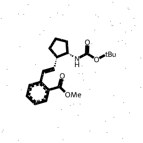 COC(=O)c1ccccc1/C=C/[C@@H]1CCC[C@@H]1NC(=O)OC(C)(C)C